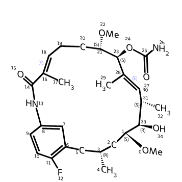 CO[C@H]1C[C@H](C)Cc2cc(ccc2F)NC(=O)/C(C)=C/CC[C@H](OC)[C@@H](OC(N)=O)/C(C)=C/[C@H](C)[C@H]1O